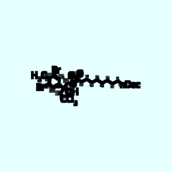 CCCCCCCCCCCCCCCCCCS(=O)(=O)OCC(O)(CC(Cl)(Cl)Cl)c1cc(Br)c(C)c(Br)c1